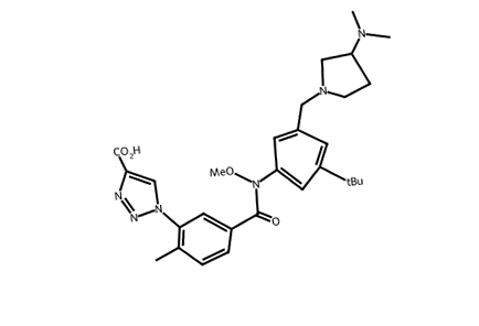 CON(C(=O)c1ccc(C)c(-n2cc(C(=O)O)nn2)c1)c1cc(CN2CCC(N(C)C)C2)cc(C(C)(C)C)c1